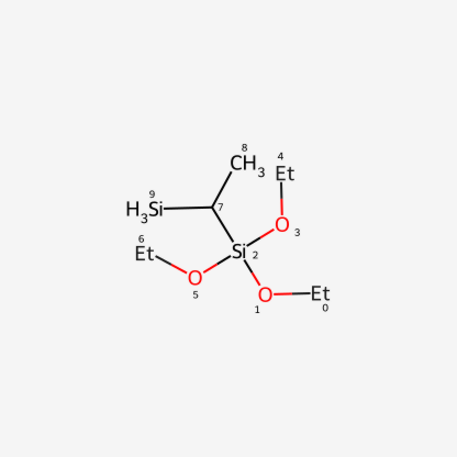 CCO[Si](OCC)(OCC)C(C)[SiH3]